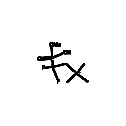 COP(=O)(O)C(F)(F)C[N+](C)(C)C